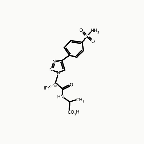 CC(NC(=O)[C@H](C(C)C)n1cc(-c2ccc(S(N)(=O)=O)cc2)nn1)C(=O)O